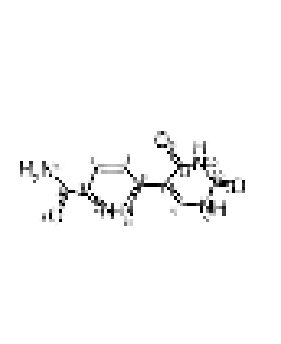 NC(=O)c1ccc(-c2c[nH]c(=O)[nH]c2=O)nn1